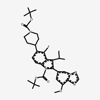 COc1cc(-c2c(C(C)C)c3c(F)c(C4CCN(C(=O)OC(C)(C)C)CC4)ccc3n2C(=O)OC(C)(C)C)cn2ncnc12